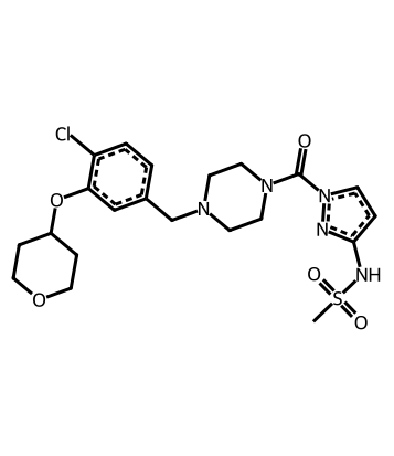 CS(=O)(=O)Nc1ccn(C(=O)N2CCN(Cc3ccc(Cl)c(OC4CCOCC4)c3)CC2)n1